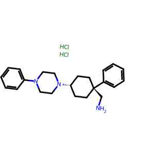 Cl.Cl.NC[C@]1(c2ccccc2)CC[C@@H](N2CCN(c3ccccc3)CC2)CC1